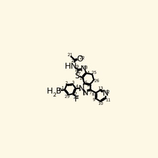 Bc1ccc(-n2nc(-c3cccnc3)c3c2-c2sc(NC(C)=O)nc2CC3)c(F)c1